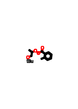 C[C](COC(C)(C)C)OOC(=O)c1ccccc1C